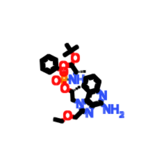 CCOCc1nc2c(N)nc3ccccc3c2n1C[C@@H](C)O[P@](=O)(N[C@@H](C)C(=O)OC(C)(C)C)Oc1ccccc1